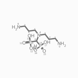 NCCCN(CCCN)C(P(=O)(O)O)P(=O)(O)O